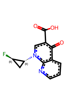 O=C(O)c1cn([C@@H]2C[C@H]2F)c2ncccc2c1=O